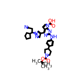 CC(C)(C)OC(=O)N1CCC(c2ccc(Nc3nc(-c4cnn(C(CC#N)C5CCCC5)c4)c4ccn(C(=O)O)c4n3)cc2)CC1